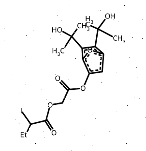 CCC(I)C(=O)OCC(=O)Oc1cc2oc1c(C(C)(C)O)c2C(C)(C)O